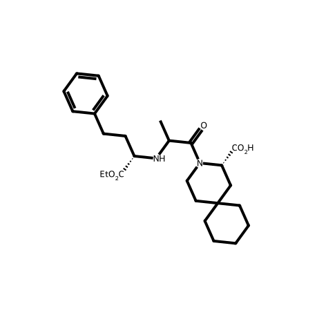 CCOC(=O)[C@H](CCc1ccccc1)NC(C)C(=O)N1CCC2(CCCCC2)C[C@H]1C(=O)O